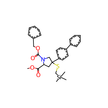 COC(=O)C1CC(SC[Si](C)(C)C)(c2ccc(-c3ccccc3)cc2)CN1C(=O)OCc1ccccc1